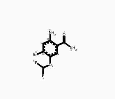 NC(=O)c1cc(OC(F)F)c(Br)cc1N